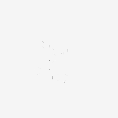 CCOC(=O)CC(O)C(CC(C)C)NC(=O)[C@@H](Cc1c[nH]cn1)NC(=O)[C@H](Cc1cccc2ncccc12)NC(=O)c1ccccc1